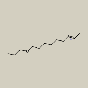 C/C=C/CCCCCCOCCC